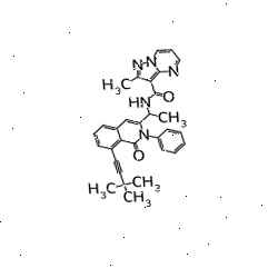 Cc1nn2cccnc2c1C(=O)NC(C)c1cc2cccc(C#CC(C)(C)C)c2c(=O)n1-c1ccccc1